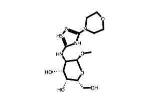 CO[C@H]1O[C@H](CO)[C@H](O)[C@H](O)[C@H]1NC1=[SH]N=C(N2CCOCC2)N1